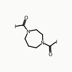 O=C(I)N1CCCN(C(=O)I)CC1